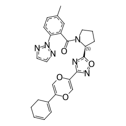 Cc1ccc(-n2nccn2)c(C(=O)N2CCC[C@H]2c2nc(C3=COC(C4=CC=CCC4)=CO3)no2)c1